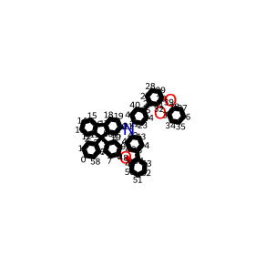 c1ccc(C2(c3ccccc3)c3ccccc3-c3ccc(N(c4ccc(-c5cccc6c5Oc5ccccc5O6)cc4)c4ccc5c(c4)oc4ccccc45)cc32)cc1